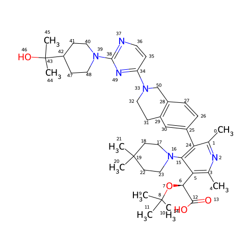 Cc1nc(C)c([C@H](OC(C)(C)C)C(=O)O)c(N2CCC(C)(C)CC2)c1-c1ccc2c(c1)CCN(c1ccnc(N3CCC(C(C)(C)O)CC3)n1)C2